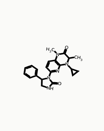 CC1C(=O)N(C)c2ccc(N3C(=O)NCC3c3ccccc3)nc2N1C1CC1